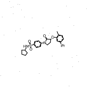 Cc1ccc(C(C)C)cc1OC1CCN(c2ccc(S(=O)(=O)NC3CCCC3)cc2)C1=O